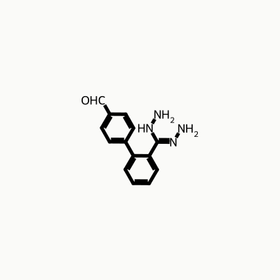 N/N=C(\NN)c1ccccc1-c1ccc(C=O)cc1